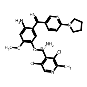 COc1cc(N)c(C(=N)c2ccc(N3CCCC3)nc2)cc1O[C@H](N)c1c(Cl)cnc(C)c1Cl